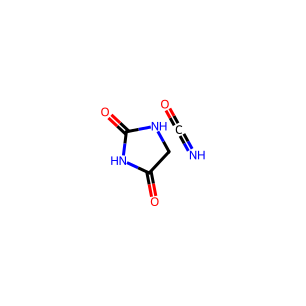 N=C=O.O=C1CNC(=O)N1